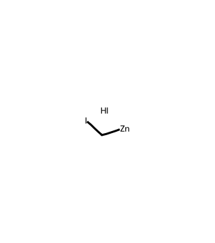 I.[Zn][CH2]I